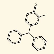 Cn1cc(C(c2ccccc2)c2ccccc2)ccc1=O